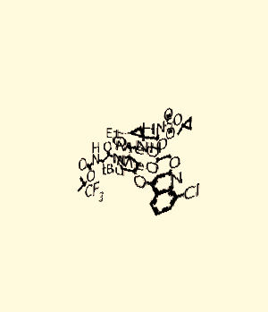 CC[C@@H]1C[C@]1(NC(=O)[C@@H]1C[C@@H](Oc2cc(OCC(OC)OC)nc3c(Cl)cccc23)CN1C(=O)[C@@H](NC(=O)OC(C)(C)C(F)(F)F)C(C)(C)C)C(=O)NS(=O)(=O)OC1(C)CC1